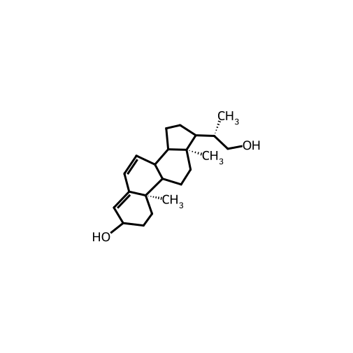 C[C@H](CO)C1CCC2C3C=CC4=CC(O)CC[C@]4(C)C3CC[C@@]21C